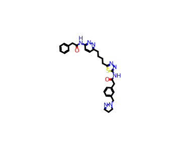 O=C(Cc1ccccc1)Nc1ccc(CCCCc2nnc(NC(=O)Cc3cccc(CN4CCC=N4)c3)s2)nn1